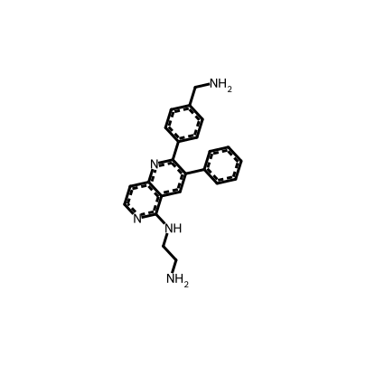 NCCNc1nccc2nc(-c3ccc(CN)cc3)c(-c3ccccc3)cc12